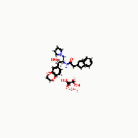 O.O=C(CC1Cc2ccccc2C1)N[C@H](CN1CCCC1)[C@H](O)c1ccc2c(c1)OCCO2.O=C(O)C(=O)O